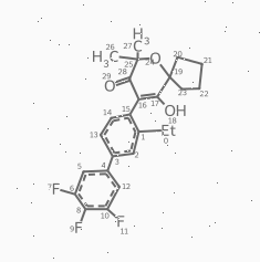 CCc1cc(-c2cc(F)c(F)c(F)c2)ccc1C1=C(O)C2(CCCC2)OC(C)(C)C1=O